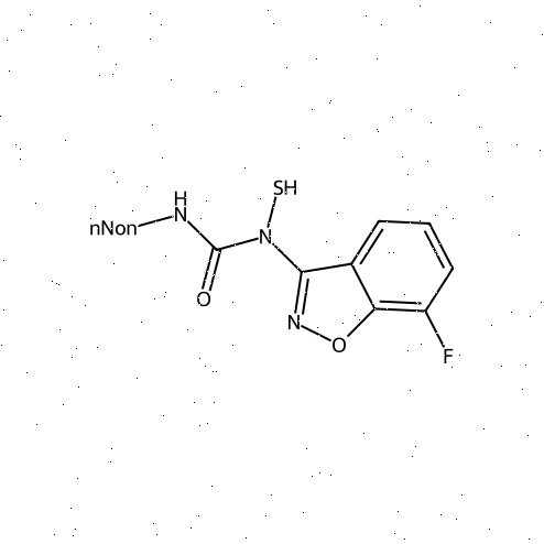 CCCCCCCCCNC(=O)N(S)c1noc2c(F)cccc12